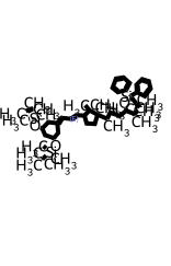 CC(C)C(CCC(C)C1(C)CCC(/C=C/C=C2CC(O[Si](C)(C)C(C)(C)C)CC(O[Si](C)(C)C(C)(C)C)C2)C1(C)C)O[Si](c1ccccc1)(c1ccccc1)C(C)(C)C